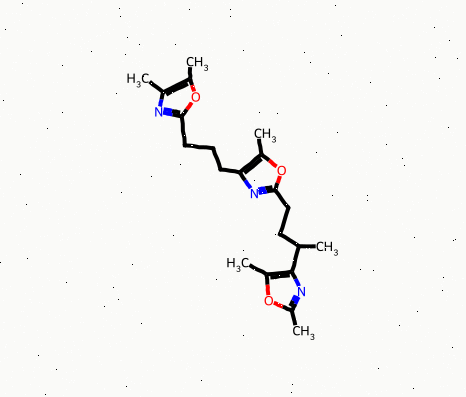 Cc1nc(C(C)CCc2nc(CCCc3nc(C)c(C)o3)c(C)o2)c(C)o1